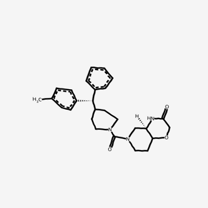 Cc1ccc([C@H](c2ccccc2)C2CCN(C(=O)N3CCC4OCC(=O)N[C@@H]4C3)CC2)cc1